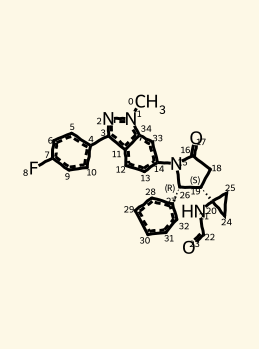 Cn1nc(-c2ccc(F)cc2)c2ccc(N3C(=O)C[C@H](C4(NC=O)CC4)[C@@H]3c3ccccc3)cc21